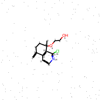 C=C1CCC(C)(OCCO)c2c1ccnc2Cl